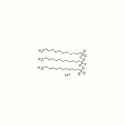 CCCCCCCCCCCCS(=O)(=O)[O-].CCCCCCCCCCCCS(=O)(=O)[O-].CCCCCCCCCCCCS(=O)(=O)[O-].[La+3]